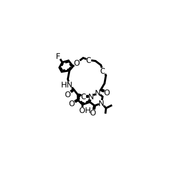 CC(C)N1CN2C(=O)CCCCCCCOc3cc(F)ccc3CNC(=O)c3cn2c(c(O)c3=O)C1=O